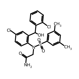 Cc1cc(C)cc(S(=O)(=O)N(CC(N)=O)c2ccc(Cl)cc2C(O)c2ccccc2Cl)c1